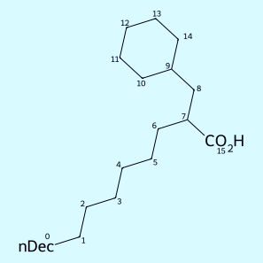 CCCCCCCCCCCCCCCCC(CC1CCCCC1)C(=O)O